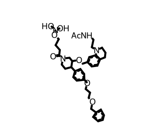 CC(=O)NCCN1CCCc2ccc(COC3CN(C(=O)CCCON(O)O)CCC3c3ccc(OCCCOCc4ccccc4)cc3)cc21